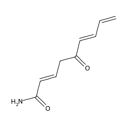 C=C/C=C/C(=O)C/C=C/C(N)=O